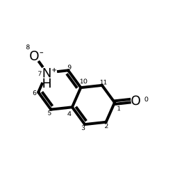 O=C1CC=C2C=C[NH+]([O-])C=C2C1